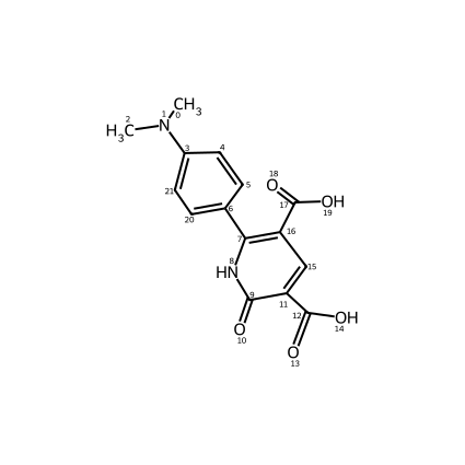 CN(C)c1ccc(-c2[nH]c(=O)c(C(=O)O)cc2C(=O)O)cc1